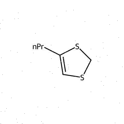 CCCC1=CSCS1